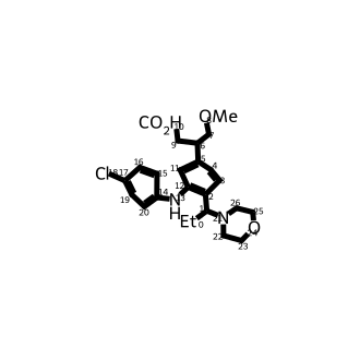 CCC(c1ccc(C(COC)CC(=O)O)cc1Nc1ccc(Cl)cc1)N1CCOCC1